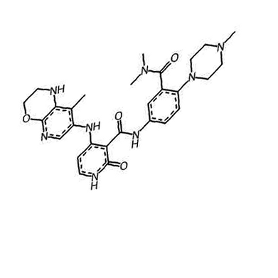 Cc1c(Nc2cc[nH]c(=O)c2C(=O)Nc2ccc(N3CCN(C)CC3)c(C(=O)N(C)C)c2)cnc2c1NCCO2